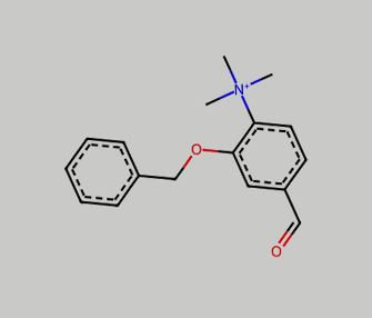 C[N+](C)(C)c1ccc(C=O)cc1OCc1ccccc1